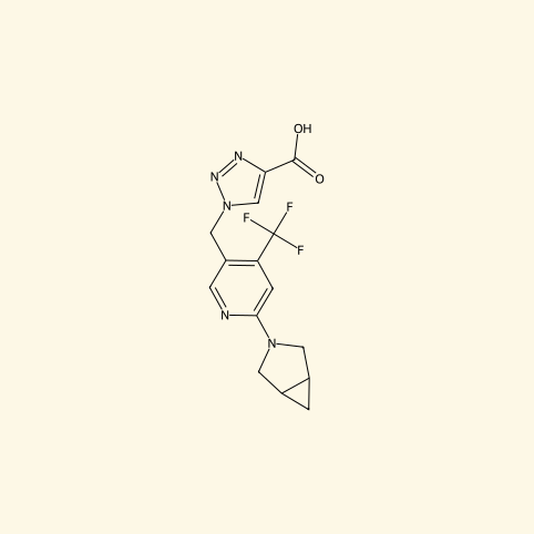 O=C(O)c1cn(Cc2cnc(N3CC4CC4C3)cc2C(F)(F)F)nn1